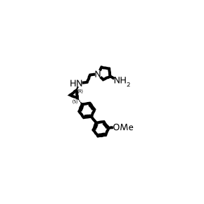 COc1cccc(-c2ccc([C@@H]3C[C@H]3NCCN3CCC(N)C3)cc2)c1